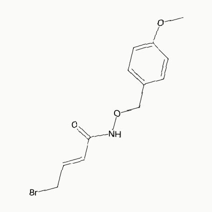 COc1ccc(CONC(=O)/C=C/CBr)cc1